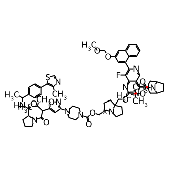 COCOc1cc(-c2ncc3c(N4CC5CCC(C4)N5C(=O)OC(C)(C)C)nc(OCC45CCCN4[C@@H](COC(=O)N4CCN(c6cc(C(C(=O)N7CCCC7C(=O)NC(C)c7ccc(-c8scnc8C)cc7)C(C)C)on6)CC4)CC5)nc3c2F)c2ccccc2c1